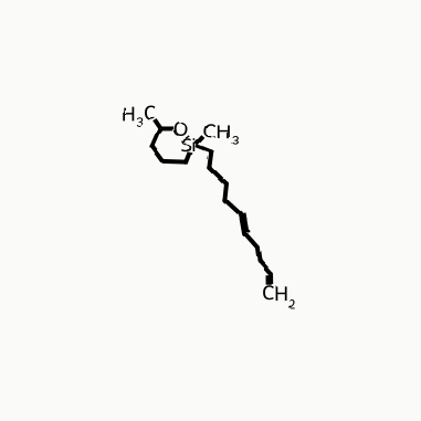 C=CCC/C=C/CCCC[Si]1(C)CCCC(C)O1